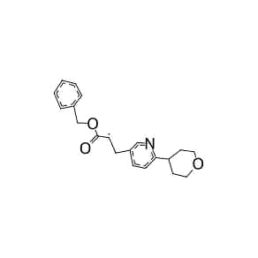 O=C([CH]Cc1ccc(C2CCOCC2)nc1)OCc1ccccc1